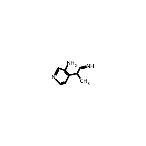 CC(C=N)c1ccncc1N